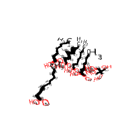 CCCCCCCC(=O)O.CCCCCCCC(=O)O.CCCCCCCC(=O)O.CCCCCCCC(=O)O.CCCCCCCCCC(=O)O.OCC(CO)(CO)CO